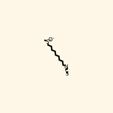 C[S+]([O-])CCCCCCCCCN=C=S